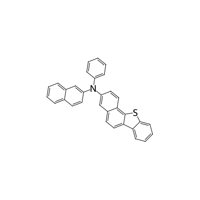 c1ccc(N(c2ccc3ccccc3c2)c2ccc3c(ccc4c5ccccc5sc34)c2)cc1